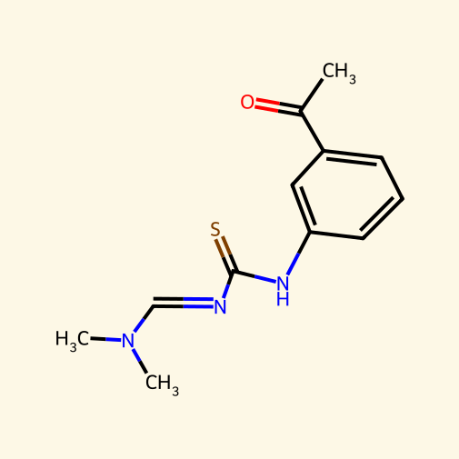 CC(=O)c1cccc(NC(=S)N=CN(C)C)c1